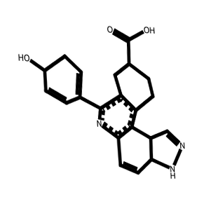 O=C(O)C1CCc2c(c(C3=CCC(O)C=C3)nc3c2C2C=NNC2C=C3)C1